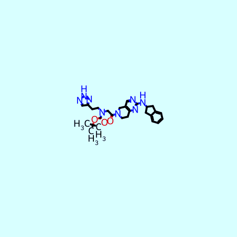 CC(C)(C)OC(=O)N(CCc1cn[nH]n1)CC(=O)N1CCc2nc(NC3Cc4ccccc4C3)ncc2C1